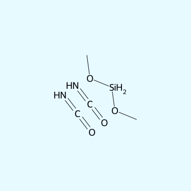 CO[SiH2]OC.N=C=O.N=C=O